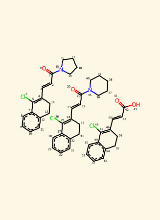 O=C(C=CC1=C(Cl)c2ccccc2CC1)N1CCCC1.O=C(C=CC1=C(Cl)c2ccccc2CC1)N1CCCCC1.O=C(O)C=CC1=C(Cl)c2ccccc2CC1